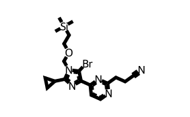 C[Si](C)(C)CCOCn1c(C2CC2)nc(-c2ccnc(CCC#N)n2)c1Br